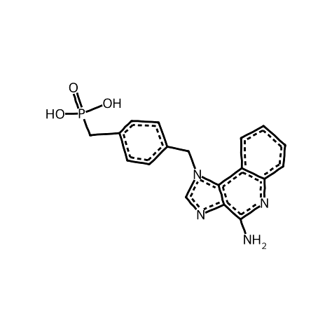 Nc1nc2ccccc2c2c1ncn2Cc1ccc(CP(=O)(O)O)cc1